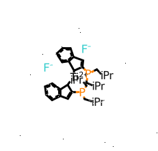 CC(C)CP(CC(C)C)C1=Cc2ccccc2[CH]1[Ti+2][CH]1C(P(CC(C)C)CC(C)C)=Cc2ccccc21.[F-].[F-]